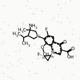 COc1c(N2CC(C(C)C)C(C)(N)C2)c(F)cc2c(=O)c(C(=O)O)cn([C@@H]3C[C@@H]3F)c12